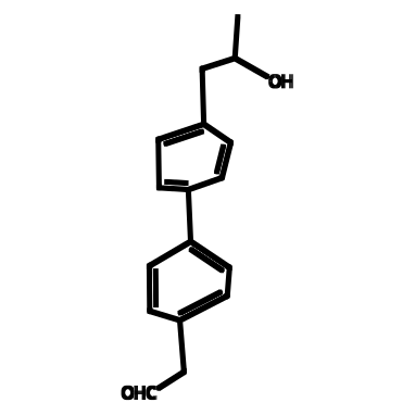 CC(O)Cc1ccc(-c2ccc(CC=O)cc2)cc1